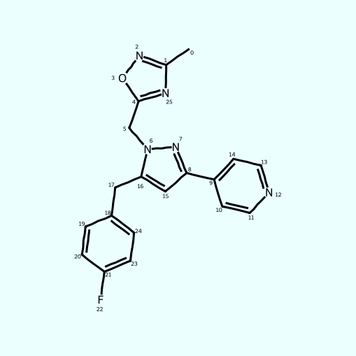 Cc1noc(Cn2nc(-c3ccncc3)cc2Cc2ccc(F)cc2)n1